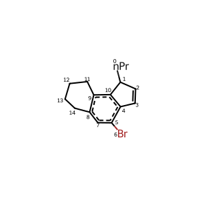 CCCC1C=Cc2c(Br)cc3c(c21)CCCC3